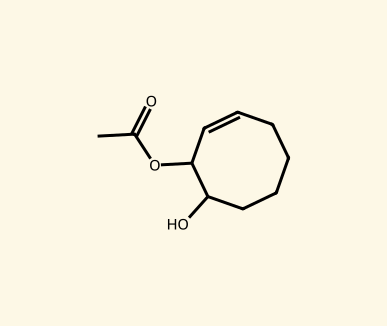 CC(=O)OC1/C=C\CCCCC1O